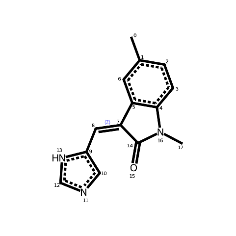 Cc1ccc2c(c1)/C(=C/c1cnc[nH]1)C(=O)N2C